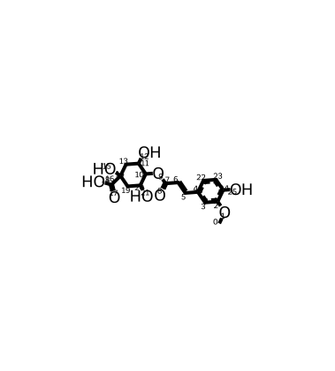 COc1cc(/C=C/C(=O)OC2C(O)CC(O)(C(=O)O)CC2O)ccc1O